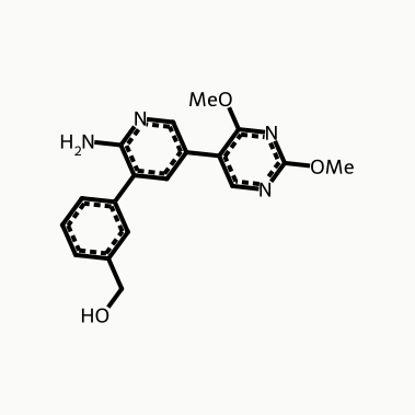 COc1ncc(-c2cnc(N)c(-c3cccc(CO)c3)c2)c(OC)n1